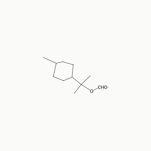 CC1CCC(C(C)(C)O[C]=O)CC1